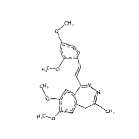 COc1ccc(C=CC2=NN=C(C)Cc3cc(OC)c(OC)cc32)c(OC)c1